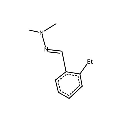 CCc1ccccc1C=NN(C)C